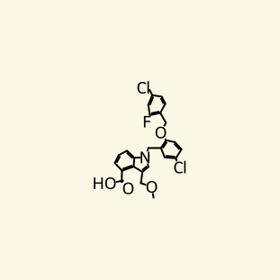 COCc1cn(Cc2cc(Cl)ccc2OCc2ccc(Cl)cc2F)c2cccc(C(=O)O)c12